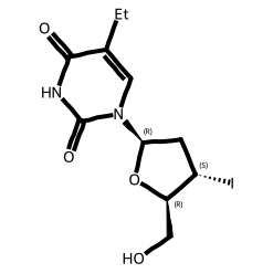 CCc1cn([C@H]2C[C@H](I)[C@@H](CO)O2)c(=O)[nH]c1=O